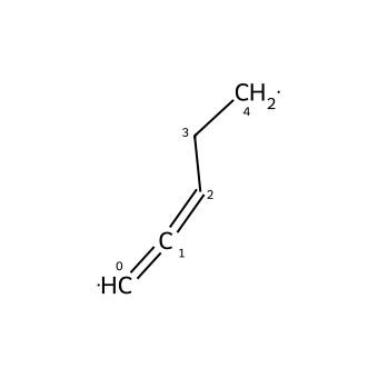 [CH]=C=CC[CH2]